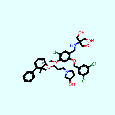 CC1(C)C(c2ccccc2)=CC=C[C@@]1(COc1cc(OCc2cc(Cl)cc(Cl)c2)c(CNC(CO)(CO)CO)cc1Cl)OCCCN1CCC(O)C1